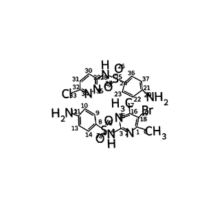 Cc1nc(NS(=O)(=O)c2ccc(N)cc2)nc(C)c1Br.Nc1ccc(S(=O)(=O)Nc2ccc(Cl)nn2)cc1